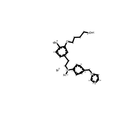 CCCCCCCCCCCCCCOc1cc(CCN(C(C)=O)c2ccc(C[n+]3ccsc3)cc2)ccc1C(C)(C)C.[Br-]